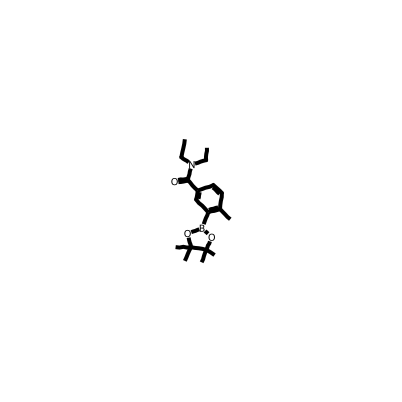 CCN(CC)C(=O)c1ccc(C)c(B2OC(C)(C)C(C)(C)O2)c1